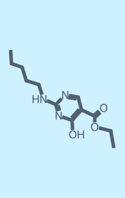 CCCCCNc1ncc(C(=O)OCC)c(O)n1